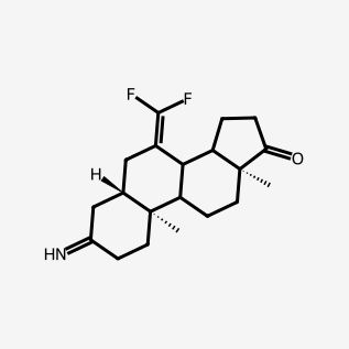 C[C@]12CCC3C(C(=C(F)F)C[C@H]4CC(=N)CC[C@]34C)C1CCC2=O